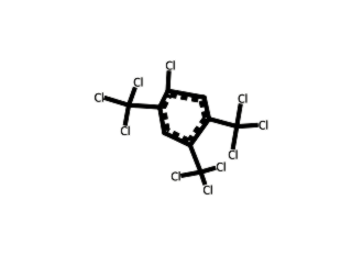 Clc1cc(C(Cl)(Cl)Cl)c(C(Cl)(Cl)Cl)cc1C(Cl)(Cl)Cl